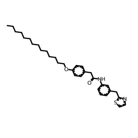 CCCCCCCCCCCCCCOc1ccc(CC(=O)Nc2cccc(Cc3nccs3)c2)cc1